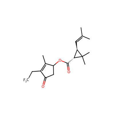 CC(C)=C[C@@H]1[C@@H](C(=O)OC2CC(=O)C(CC(F)(F)F)=C2C)C1(C)C